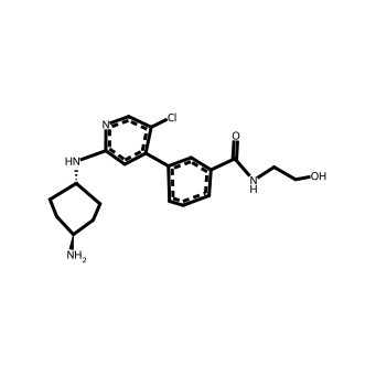 N[C@H]1CC[C@H](Nc2cc(-c3cccc(C(=O)NCCO)c3)c(Cl)cn2)CC1